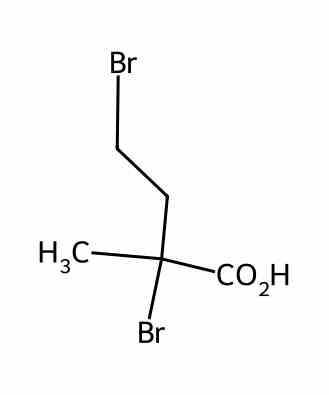 CC(Br)(CCBr)C(=O)O